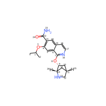 CC(C)Oc1cc2c(O[C@@H]3C[C@@H]4CN[C@H]3C4)nccc2cc1C(N)=O